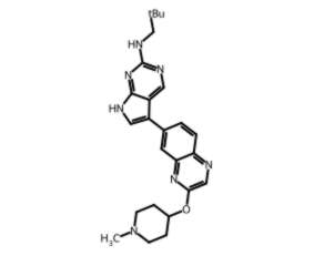 CN1CCC(Oc2cnc3ccc(-c4c[nH]c5nc(NCC(C)(C)C)ncc45)cc3n2)CC1